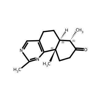 Cc1ncc2c(n1)[C@@]1(C)CCC(=O)[C@@H](C)[C@@H]1CC2